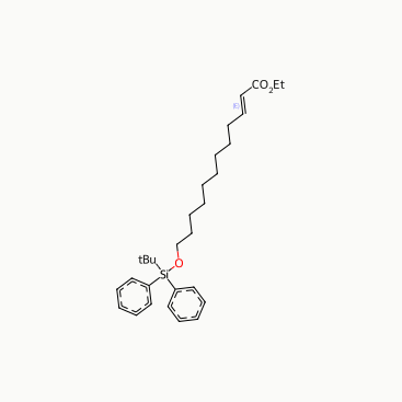 CCOC(=O)/C=C/CCCCCCCCCO[Si](c1ccccc1)(c1ccccc1)C(C)(C)C